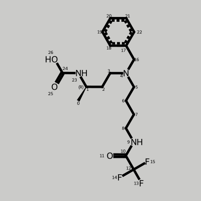 C[C@H](CCN(CCCCNC(=O)C(F)(F)F)Cc1ccccc1)NC(=O)O